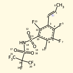 C/C=C/c1c(F)c(F)c(F)c(S(=O)(=O)NS(=O)(=O)C(F)(C(F)(F)F)C(F)(F)F)c1F